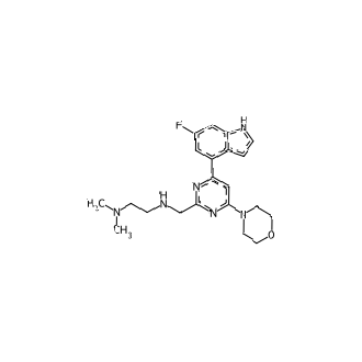 CN(C)CCNCc1nc(-c2cc(F)cc3[nH]ccc23)cc(N2CCOCC2)n1